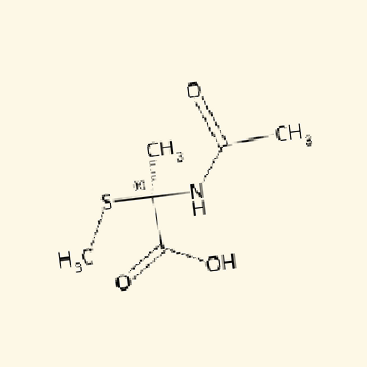 CS[C@@](C)(NC(C)=O)C(=O)O